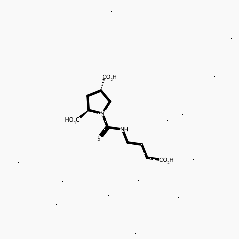 O=C(O)CCCNC(=S)N1C[C@@H](C(=O)O)C[C@@H]1C(=O)O